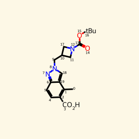 Cc1c(C(=O)O)ccc2nn(CC3CN(C(=O)OC(C)(C)C)C3)cc12